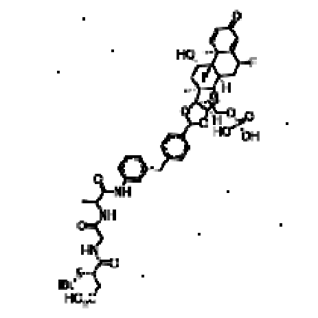 CCC(C)SC(CC(=O)O)C(=O)NCC(=O)N[C@@H](C)C(=O)Nc1cccc(Cc2ccc([C@@H]3O[C@@H]4CC5[C@@H]6C[C@H](F)C7=CC(=O)C=C[C@]7(C)[C@@]6(F)[C@@H](O)C[C@]5(C)[C@]4(C(=O)COP(=O)(O)O)O3)cc2)c1